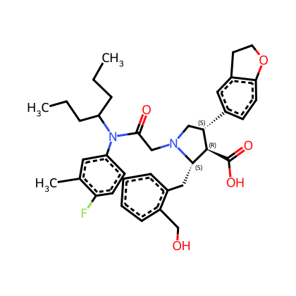 CCCC(CCC)N(C(=O)CN1C[C@H](c2ccc3c(c2)CCO3)[C@@H](C(=O)O)[C@@H]1Cc1ccccc1CO)c1ccc(F)c(C)c1